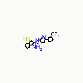 Nc1c(/N=N/c2ccc(-c3cccc(C(F)(F)F)c3)nc2)cc(S)c2ccccc12